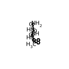 C[C@H](c1cccc2ccccc12)N1CCC(NCC(=O)NCC(=O)NC/C=C/C(N)=O)CC1